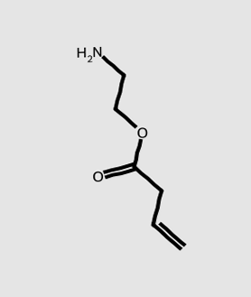 C=CCC(=O)OCCN